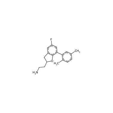 Cc1ccc(C)c(-c2cc(F)cc3c2OC(CCN)C3)c1